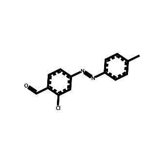 Cc1ccc(N=Nc2ccc(C=O)c(Cl)c2)cc1